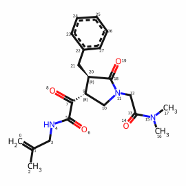 C=C(C)CNC(=O)C(=O)[C@H]1CN(CC(=O)N(C)C)C(=O)[C@@H]1Cc1ccccc1